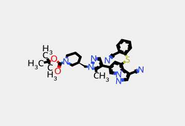 Cc1c(-c2cc(Sc3ccccc3C#N)c3c(C#N)cnn3c2)cnn1C[C@@H]1CCCN(C(=O)OC(C)(C)C)C1